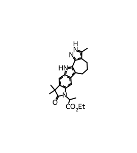 CCOC(=O)C(C)N1C(=O)C(C)(C)c2cc3[nH]c4c(c3cc21)CCCc1c-4n[nH]c1C